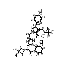 O=C(NC1CC(F)(F)C1)c1cccc(Cl)c1-n1cnc(Cn2nc(-c3ccc(Cl)cc3)n(C[C@@H](O)C(F)(F)F)c2=O)n1